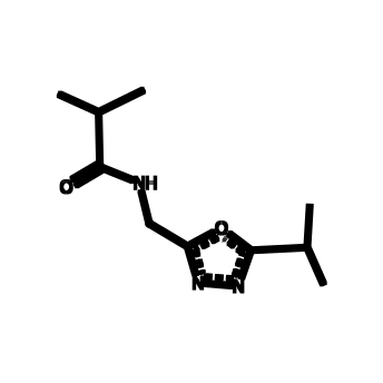 CC(C)C(=O)NCc1nnc(C(C)C)o1